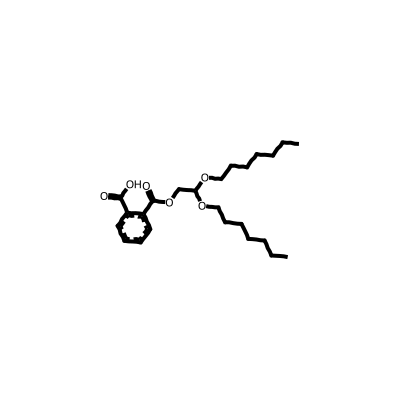 CCCCCCCOC(COC(=O)c1ccccc1C(=O)O)OCCCCCCC